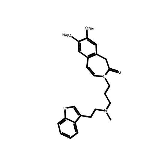 COc1cc2c(cc1OC)CC(=O)N(CCCN(C)CCc1coc3ccccc13)C=C2